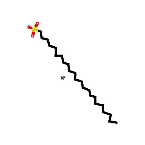 CCCCCCCCCCCCCCCCCCCCCCCS(=O)(=O)[O-].[K+]